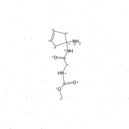 COC(=O)NCC(=O)NC1(N)CC=CC1